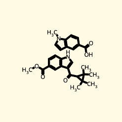 COC(=O)c1ccc2[nH]cc(C(=O)C3C(C)(C)C3(C)C)c2c1.Cn1ccc2cc(C(=O)O)ccc21